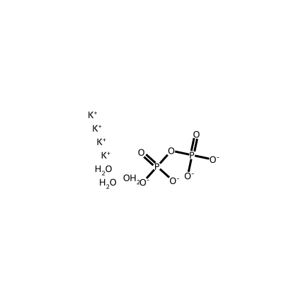 O.O.O.O=P([O-])([O-])OP(=O)([O-])[O-].[K+].[K+].[K+].[K+]